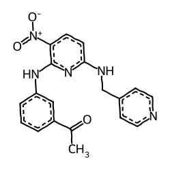 CC(=O)c1cccc(Nc2nc(NCc3ccncc3)ccc2[N+](=O)[O-])c1